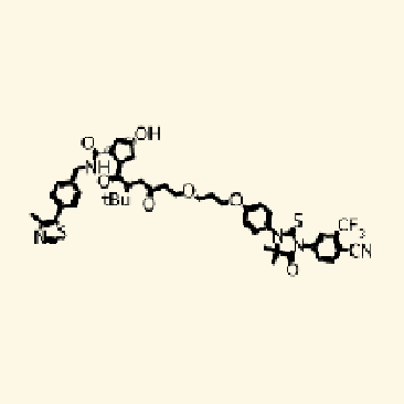 Cc1ncsc1-c1ccc(CNC(=O)[C@@H]2C[C@@H](O)CC2C(=O)[C@@H](CC(=O)CCOCCCOc2ccc(N3C(=S)N(c4ccc(C#N)c(C(F)(F)F)c4)C(=O)C3(C)C)cc2)C(C)(C)C)cc1